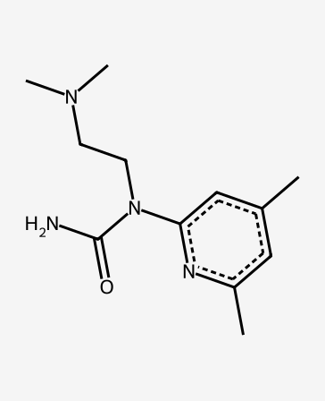 Cc1cc(C)nc(N(CCN(C)C)C(N)=O)c1